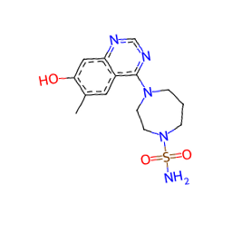 Cc1cc2c(N3CCCN(S(N)(=O)=O)CC3)ncnc2cc1O